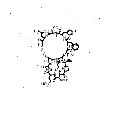 CCC(C)C(N)C1=NC(C(=O)NC(CC(C)C)C(=O)NC(CCC(=O)O)C(=O)NC(C(=O)NC2CCCCNC(=O)C(CC(N)=O)NC(=O)C(CC(=O)O)NC(=O)C(Cc3c[nH]cn3)NC(=O)C(Cc3ccccc3)NC(=O)C(C(C)CC)NC(=O)C(CCCN)NC2=O)C(C)CC)CS1